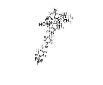 CC(C)(C)[Si](C)(C)Oc1ccc(NC(=O)c2ccc(SCc3ccc(C(F)(F)F)cc3)cc2)cc1N(c1ccc(F)cc1)S(=O)(=O)O